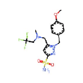 COc1ccc(Cn2nc(S(N)(=O)=O)cc2CN(C)CC(F)(F)F)cc1